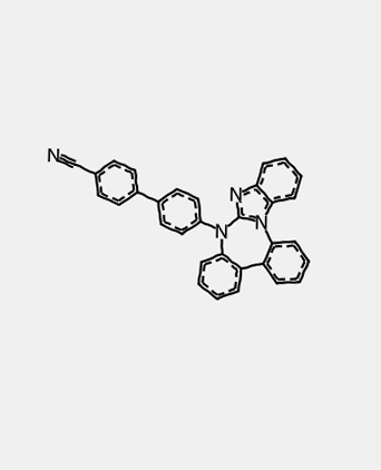 N#Cc1ccc(-c2ccc(N3c4ccccc4-c4ccccc4-n4c3nc3ccccc34)cc2)cc1